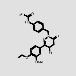 CCCC(=O)Nc1ccc(CN2N=C(c3ccc(OCF)c(OC)c3)C(CC)CC2=O)cc1